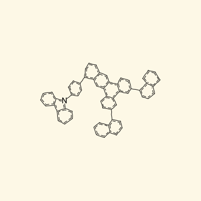 c1ccc2c(-c3ccc4c(c3)c3cc(-c5cccc6ccccc56)ccc3c3cc5c(-c6ccc(-n7c8ccccc8c8ccccc87)cc6)cccc5cc43)cccc2c1